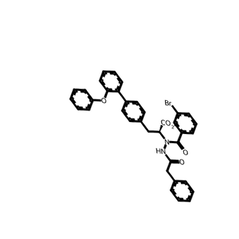 O=C(Cc1ccccc1)NN(C(=O)c1cccc(Br)c1)[C@@H](Cc1ccc(-c2ccccc2Oc2ccccc2)cc1)C(=O)O